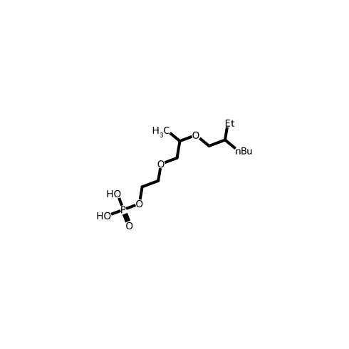 CCCCC(CC)COC(C)COCCOP(=O)(O)O